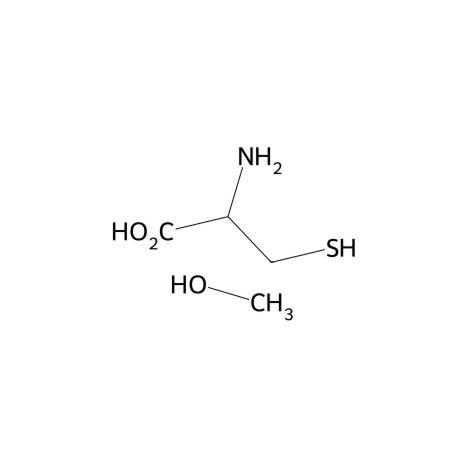 CO.NC(CS)C(=O)O